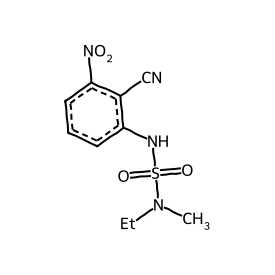 CCN(C)S(=O)(=O)Nc1cccc([N+](=O)[O-])c1C#N